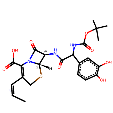 C/C=C\C1=C(C(=O)O)N2C(=O)[C@@H](NC(=O)C(NC(=O)OC(C)(C)C)c3ccc(O)c(O)c3)[C@@H]2SC1